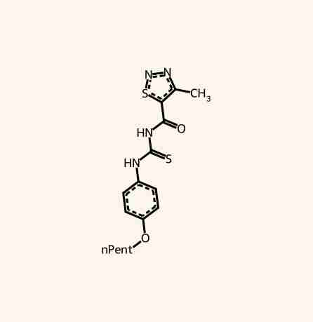 CCCCCOc1ccc(NC(=S)NC(=O)c2snnc2C)cc1